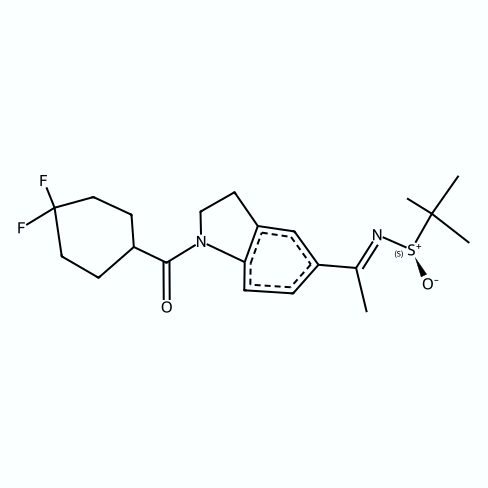 CC(=N[S@+]([O-])C(C)(C)C)c1ccc2c(c1)CCN2C(=O)C1CCC(F)(F)CC1